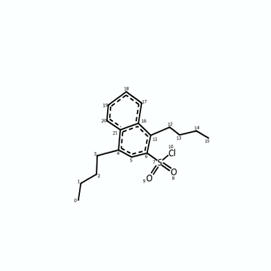 CCCCc1cc(S(=O)(=O)Cl)c(CCCC)c2ccccc12